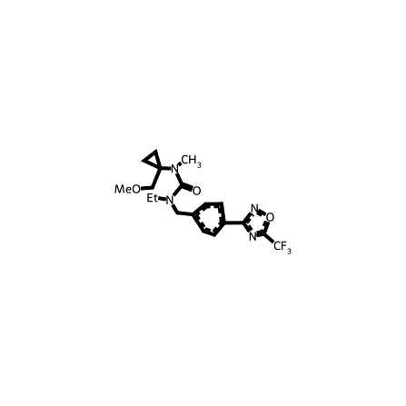 CCN(Cc1ccc(-c2noc(C(F)(F)F)n2)cc1)C(=O)N(C)C1(COC)CC1